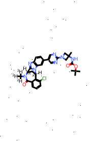 [2H]C([2H])([2H])N1C(=O)c2cccc(Cl)c2[C@H]2C[C@@H]1c1nc3ccc(-c4cnc(N5CC(C)(NC(=O)OC(C)(C)C)C5)nc4)cc3n12